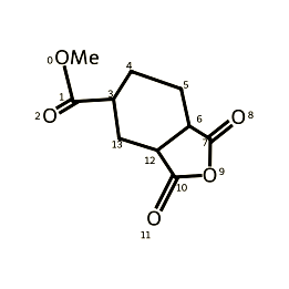 COC(=O)C1CCC2C(=O)OC(=O)C2C1